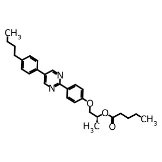 CCCCC(=O)O[C@@H](C)COc1ccc(-c2ncc(-c3ccc(CCCC)cc3)cn2)cc1